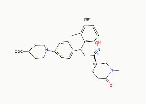 Cc1ccccc1C(C/C(=N\O)[C@@H]1CCC(=O)N(C)C1)c1ccc(N2CCC(C(=O)[O-])CC2)cc1.[Na+]